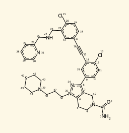 NC(=O)N1CCc2c(c(-c3ccc(Cl)c(C#Cc4ccc(Cl)c(CNCc5ccccn5)c4)c3)nn2CCCN2CCSCC2)C1